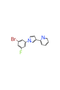 Fc1cc(Br)cc(-n2ccc(-c3ccccn3)c2)c1